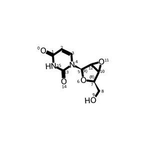 O=c1ccn([C@@H]2O[C@H](CO)C3OC32)c(=O)[nH]1